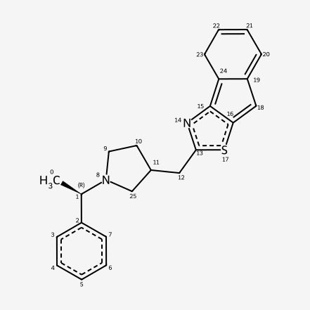 C[C@H](c1ccccc1)N1CCC(Cc2nc3c(s2)=CC2=CC=CCC=32)C1